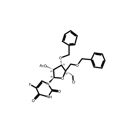 CC(=O)O[C@H]1[C@H](n2cc(F)c(=O)[nH]c2=O)O[C@](CCl)(COCc2ccccc2)[C@H]1OCc1ccccc1